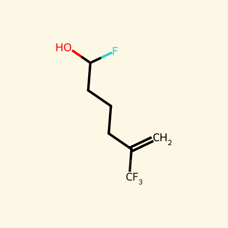 C=C(CCCC(O)F)C(F)(F)F